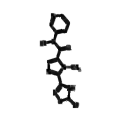 CCC1NC(c2ncc(C(=O)N(CC)c3cccnc3)n2C)=NO1